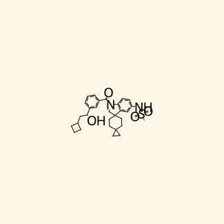 CS(=O)(=O)Nc1ccc2c(c1)C1(CCC3(CC3)CC1)CN2C(=O)c1cccc([C@H](O)CC2CCC2)c1